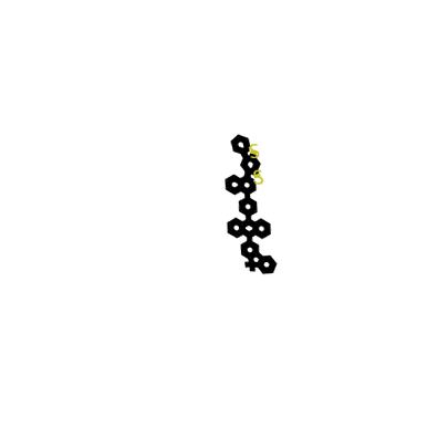 CC1(C)c2ccccc2-c2cc(-c3c4ccccc4c(-c4ccc(-c5cc6sc7cc8sc9ccccc9c8cc7c6c6ccccc56)cc4)c4ccccc34)ccc21